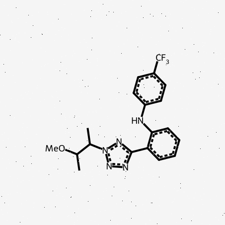 COC(C)C(C)n1nnc(-c2ccccc2Nc2ccc(C(F)(F)F)cc2)n1